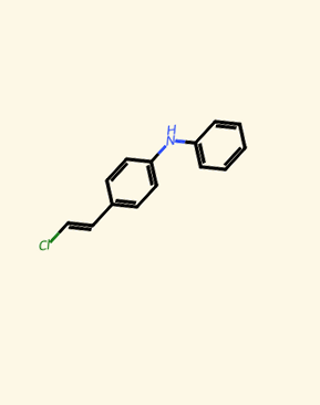 ClC=Cc1ccc(Nc2ccccc2)cc1